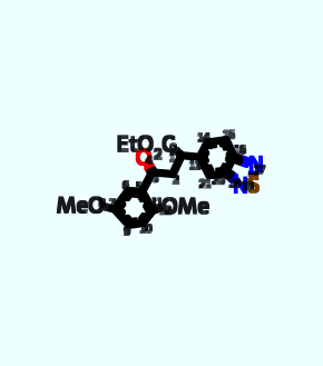 CCOC(=O)C(CC(=O)c1cc(OC)ccc1OC)c1ccc2nsnc2c1